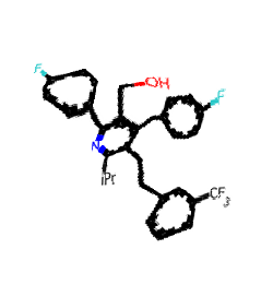 CC(C)c1nc(-c2ccc(F)cc2)c(CO)c(-c2ccc(F)cc2)c1CCc1cccc(C(F)(F)F)c1